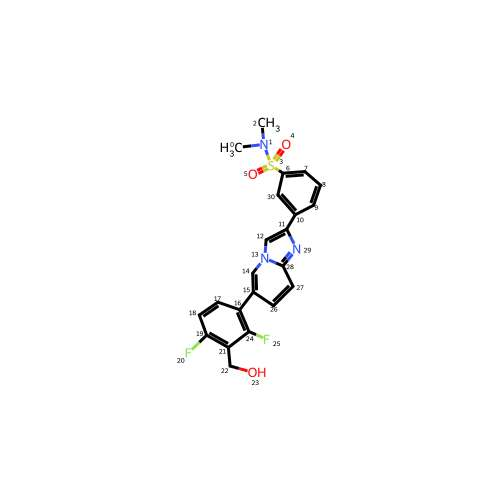 CN(C)S(=O)(=O)c1cccc(-c2cn3cc(-c4ccc(F)c(CO)c4F)ccc3n2)c1